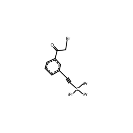 CC(C)S(C#Cc1cccc(C(=O)CBr)c1)(C(C)C)C(C)C